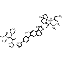 COC(=O)N[C@H](C(=O)N1[C@H](c2nc3ccc4cc5c(cc4c3[nH]2)OCc2cc(-c3cnc(C4CCCN4C(=O)[C@H](C4CCOCC4)N(C)C(=O)O)[nH]3)ccc2-5)C[C@@H]2CCC[C@@H]21)C(C)C